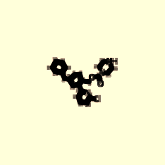 O=C(OCc1ccc(Cc2ccccc2)cc1-c1cccc(Cl)n1)N1CCNCC1